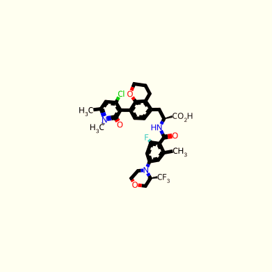 Cc1cc(N2CCOC[C@@H]2C(F)(F)F)cc(F)c1C(=O)N[C@@H](Cc1ccc(-c2c(Cl)cc(C)n(C)c2=O)c2c1CCCO2)C(=O)O